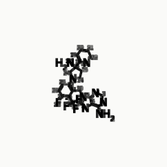 Nc1ncnc2c1ncn2Cc1c(N2CC[C@](N)(c3ccccn3)C2)ccc(F)c1C(F)(F)F